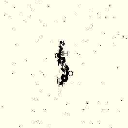 CN(C)CCCNC(=O)c1ccc(N2CCN(C(=O)c3ccc(C(F)(F)F)cc3)CC2)nc1